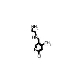 Cc1cc(Cl)ncc1CNCCN